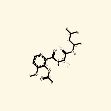 COc1ccnc(C(=O)N[C@@H](C)C(=O)OC(C)CC(C)C)c1OC(C)=O